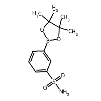 CC1(C)OB(c2cccc(S(N)(=O)=O)c2)OC1(C)C